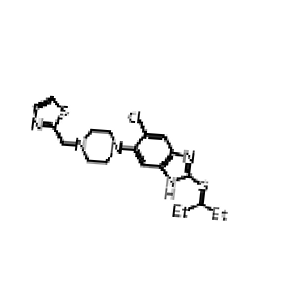 CCC(CC)Sc1nc2cc(Cl)c(N3CCN(Cc4nccs4)CC3)cc2[nH]1